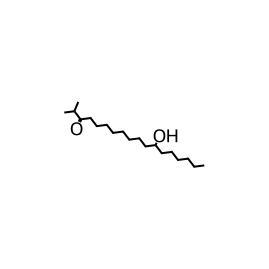 CCCCCCC(O)CCCCCCCCC(=O)C(C)C